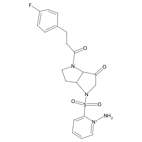 N[n+]1ccccc1S(=O)(=O)N1CC(=O)C2C1CCN2C(=O)[CH]Cc1ccc(F)cc1